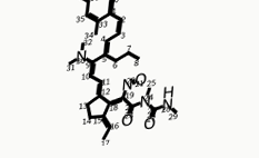 C=C(\C=C/C=C(CCC)/C(=C\C=C1/CCC(=C\C)/C1=C(/N=O)C(=O)N(C)C(=O)NC)N(C)C)/C(C)=C\CC